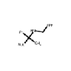 CCC[CH]NC(C)(C)CC